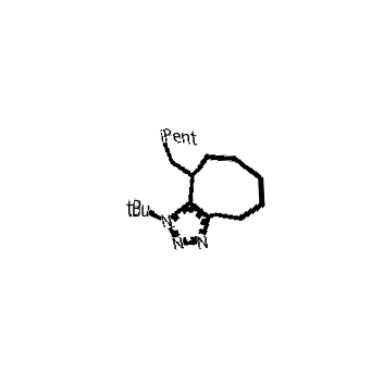 CCCC(C)CC1CCCCCc2nnn(C(C)(C)C)c21